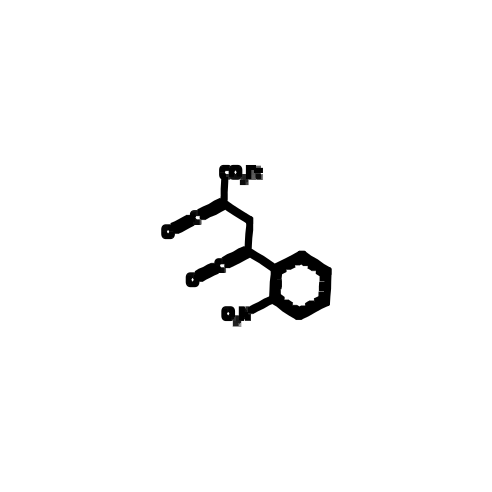 CCOC(=O)C(=C=O)CC(=C=O)c1ccccc1[N+](=O)[O-]